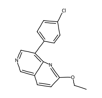 CCOc1ccc2cncc(-c3ccc(Cl)cc3)c2n1